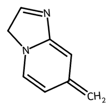 C=C1C=CN2CC=NC2=C1